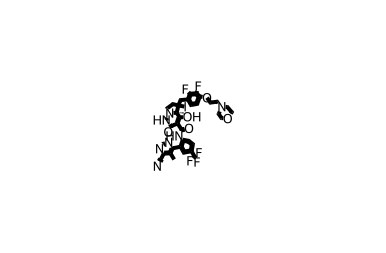 Cc1c(C#N)ncnc1-c1cc(C(F)(F)F)ccc1NC(=O)C1=C(O)[C@@]2(C)N(CCC2(I)Cc2ccc(OCCN3CCOCC3)c(F)c2F)NC1=O